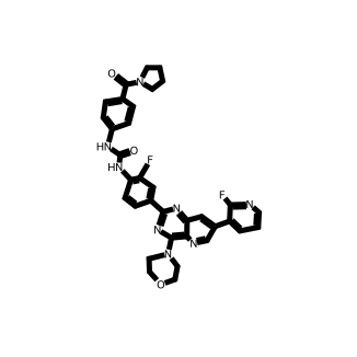 O=C(Nc1ccc(C(=O)N2CCCC2)cc1)Nc1ccc(-c2nc(N3CCOCC3)c3ncc(-c4cccnc4F)cc3n2)cc1F